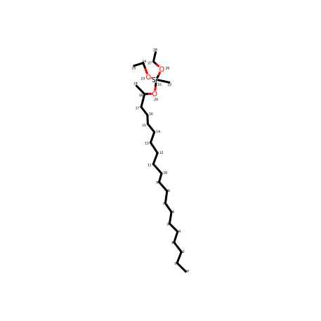 CCCCCCCCCCCCCCCCCCC(C)O[Si](C)(OCC)OCC